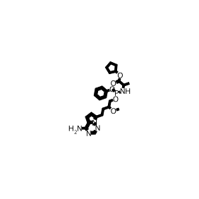 COC(CCc1ccc2c(N)ncnn12)COP(NC(C)C(=O)OC1CCCC1)Oc1ccccc1